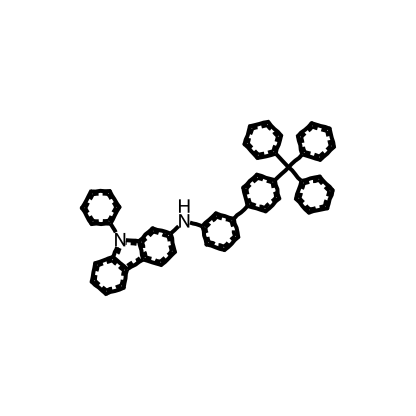 c1ccc(-n2c3ccccc3c3ccc(Nc4cccc(-c5ccc(C(c6ccccc6)(c6ccccc6)c6ccccc6)cc5)c4)cc32)cc1